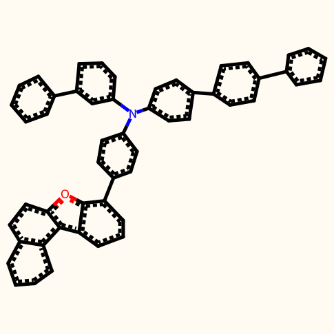 c1ccc(-c2ccc(-c3ccc(N(c4ccc(-c5cccc6c5oc5ccc7ccccc7c56)cc4)c4cccc(-c5ccccc5)c4)cc3)cc2)cc1